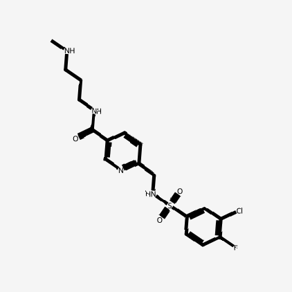 CNCCCNC(=O)c1ccc(CNS(=O)(=O)c2ccc(F)c(Cl)c2)nc1